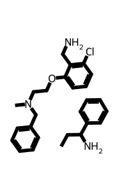 CCC(N)c1ccccc1.CN(CCOc1cccc(Cl)c1CN)Cc1ccccc1